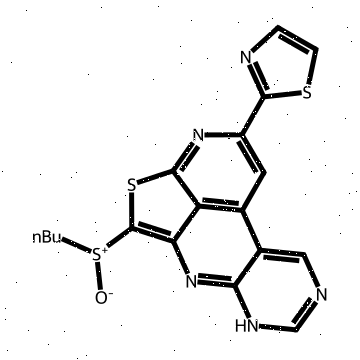 CCCC[S+]([O-])c1sc2nc(-c3nccs3)cc3c4c(nc1c23)NC=NC=4